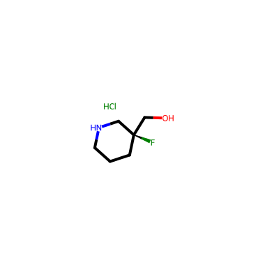 Cl.OC[C@]1(F)CCCNC1